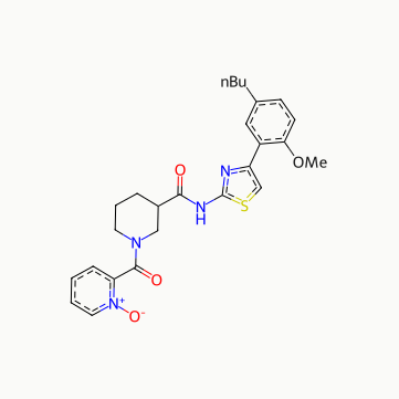 CCCCc1ccc(OC)c(-c2csc(NC(=O)C3CCCN(C(=O)c4cccc[n+]4[O-])C3)n2)c1